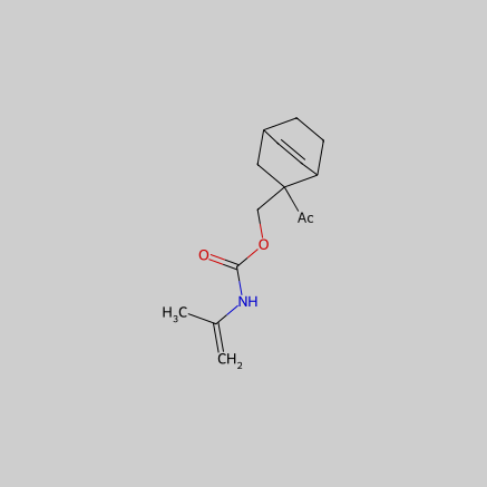 C=C(C)NC(=O)OCC1(C(C)=O)CC2C=CC1CC2